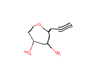 C#CC1OCC(O)C1O